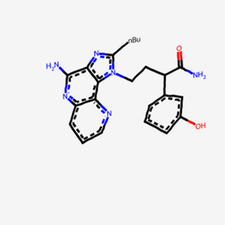 CCCCc1nc2c(N)nc3cccnc3c2n1CCC(C(N)=O)c1cccc(O)c1